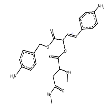 CNC(=O)CC(NC)C(=O)OC(/C=C/c1ccc(N)cc1)C(=O)OCc1ccc(N)cc1